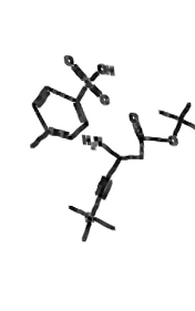 CC(C)(C)OC(=O)CC(N)C#C[Si](C)(C)C.Cc1ccc(S(=O)(=O)O)cc1